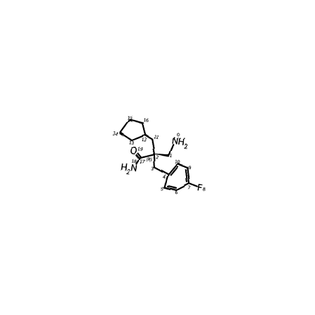 NC[C@](Cc1ccc(F)cc1)(CC1CCCC1)C(N)=O